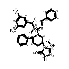 C[C@@H](OC[C@@]1(c2ccccc2)CC[C@](CO)(n2cn[nH]c2=O)CN1C(=O)OCc1ccccc1)c1cc(C(F)(F)F)cc(C(F)(F)F)c1